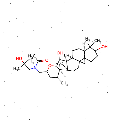 CC(=O)N(CC1C[C@@H](C)[C@H]2C(O1)[C@H](O)[C@@]1(C)C3CC[C@H]4C(C)(C)C(O)CCC45CC35CCC21C)CC(C)(C)O